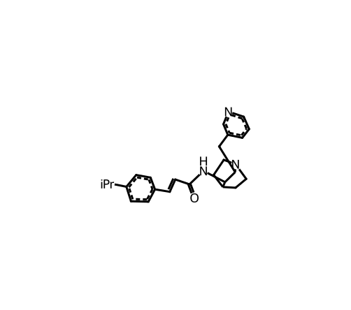 CC(C)c1ccc(C=CC(=O)NC2C3CCN(CC3)C2Cc2cccnc2)cc1